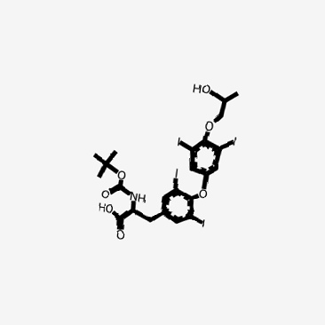 CC(O)COc1c(I)cc(Oc2c(I)cc(CC(NC(=O)OC(C)(C)C)C(=O)O)cc2I)cc1I